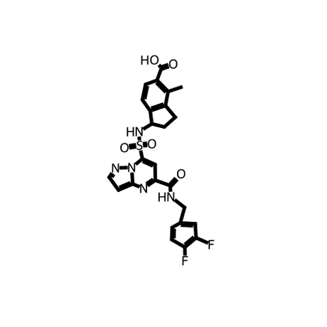 Cc1c(C(=O)O)ccc2c1CCC2NS(=O)(=O)c1cc(C(=O)NCc2ccc(F)c(F)c2)nc2ccnn12